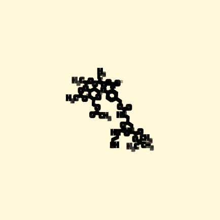 CC(=O)OCC1O[C@@H](Oc2ccc(COC(=O)NCC(CNC(=O)OC(C)(C)C)OC(=O)NCCS)cc2[N+](=O)[O-])C(OC(C)=O)C(OC(C)=O)[C@H]1OC(C)=O